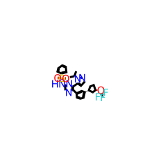 CC(C)n1nccc1-c1nc(NS(=O)(=O)c2ccccc2)cnc1-c1cccc([C@@H]2CC[C@@H](OC(F)(F)F)C2)c1